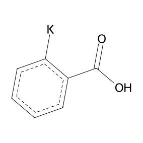 O=C(O)c1cccc[c]1[K]